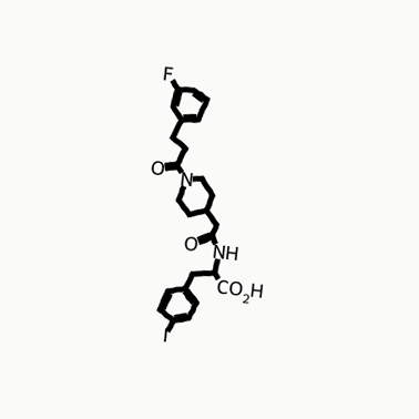 O=C(CC1CCN(C(=O)CCc2cccc(F)c2)CC1)NC(Cc1ccc(I)cc1)C(=O)O